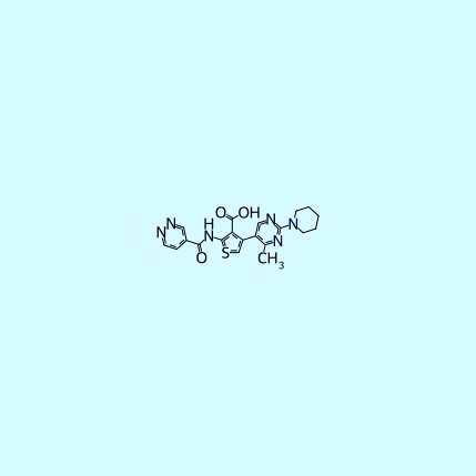 Cc1nc(N2CCCCC2)ncc1-c1csc(NC(=O)c2ccnnc2)c1C(=O)O